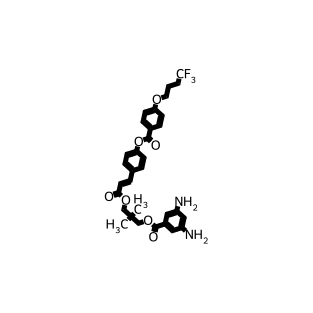 CC(C)(COC(=O)C=Cc1ccc(OC(=O)c2ccc(OCCCC(F)(F)F)cc2)cc1)COC(=O)c1cc(N)cc(N)c1